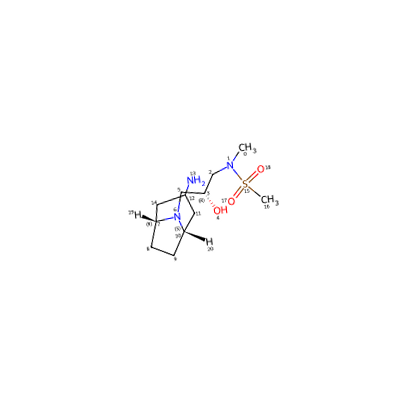 CN(C[C@H](O)CN1[C@@H]2CC[C@H]1CC(N)C2)S(C)(=O)=O